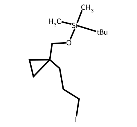 CC(C)(C)[Si](C)(C)OCC1(CCCI)CC1